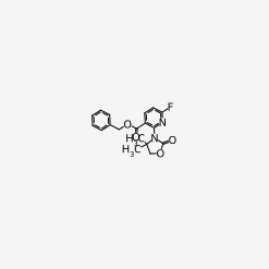 CC1(C)COC(=O)N1c1nc(F)ccc1C(=O)OCc1ccccc1